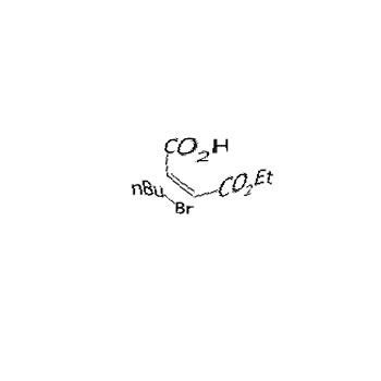 CCCCBr.CCOC(=O)/C=C\C(=O)O